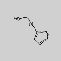 O[CH2][Fe][C]1=CC=CC1